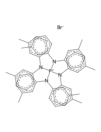 Cc1cccc(N(c2cccc(C)c2)[P+](N(c2cccc(C)c2)c2cccc(C)c2)(N(c2cccc(C)c2)c2cccc(C)c2)N(c2cccc(C)c2)c2cccc(C)c2)c1.[Br-]